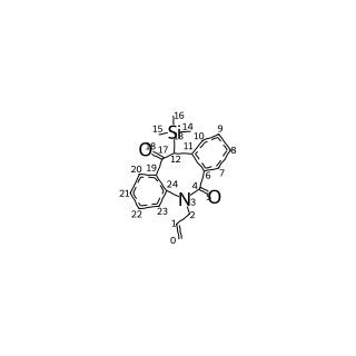 C=CCN1C(=O)c2ccccc2C([Si](C)(C)C)C(=O)c2ccccc21